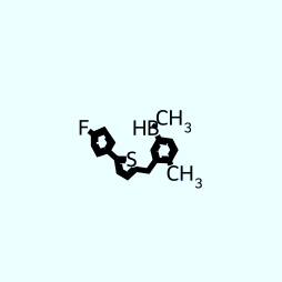 CBc1ccc(C)c(Cc2ccc(-c3ccc(F)cc3)s2)c1